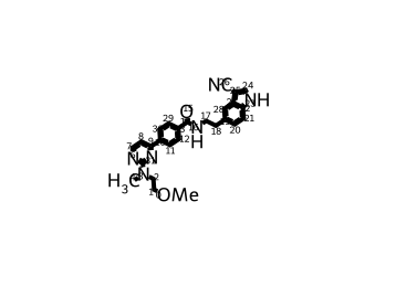 COCCN(C)c1nccc(-c2ccc(C(=O)NCCc3ccc4[nH]cc(C#N)c4c3)cc2)n1